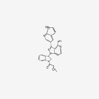 C=CC(=O)N1CC(n2nc(-c3cnc4[nH]ccc4c3)c3c(N)ncnc32)c2ccccc21